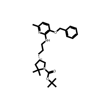 Cc1ccc(OCc2ccccc2)c(NCCC[C@@H]2CN(C(=O)OC(C)(C)C)C(C)(C)C2)n1